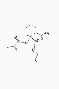 C=C(C)C(=O)OC1(C(=O)OCCC)CCCCC1C(=O)O